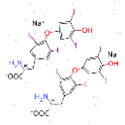 N[C@H](Cc1cc(I)c(Oc2cc(I)c(O)c(I)c2)c(I)c1)C(=O)[O-].N[C@H](Cc1cc(I)c(Oc2cc(I)c(O)c(I)c2)c(I)c1)C(=O)[O-].[Na+].[Na+]